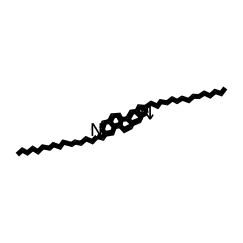 CCCCCCCCCCCCCCCc1cc2cc3c(ccc4c5cc6cc(CCCCCCCCCCCCCCC)n(C)c6cc5ccc34)cc2n1C